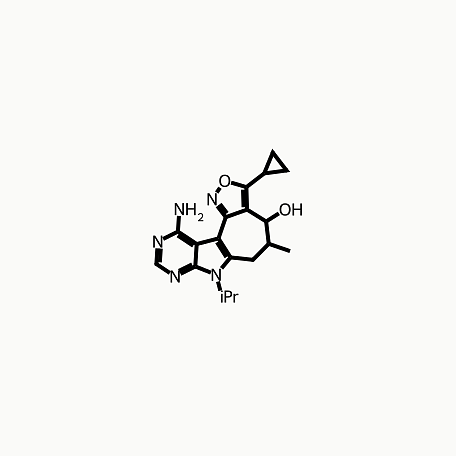 CC1Cc2c(c3c(N)ncnc3n2C(C)C)-c2noc(C3CC3)c2C1O